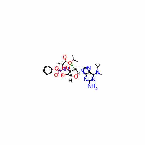 CC(C)OC(=O)[C@H](C)N[P@@](=O)(Oc1ccccc1)OC1[C@H]2O[C@@H](n3cnc4c(N(C)C5CC5)nc(N)nc43)[C@](C)(F)[C@@]12O